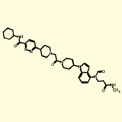 CNC(=O)CCN(C=O)c1cccc2c1ccn2C1CCN(C(=O)CN2CCC(c3ccc(C(=O)NC4CCCCC4)nn3)CC2)CC1